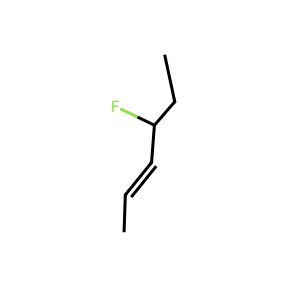 CC=CC(F)CC